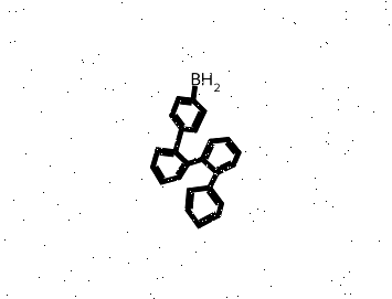 Bc1ccc(-c2ccccc2-c2ccccc2-c2ccccc2)cc1